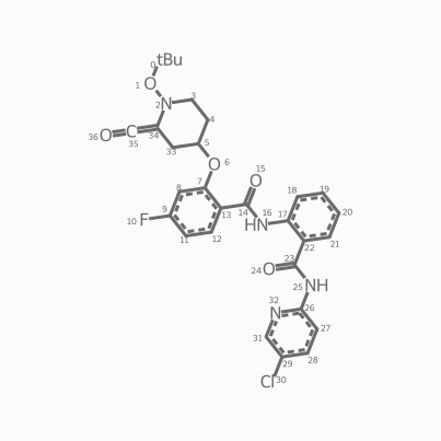 CC(C)(C)ON1CCC(Oc2cc(F)ccc2C(=O)Nc2ccccc2C(=O)Nc2ccc(Cl)cn2)CC1=C=O